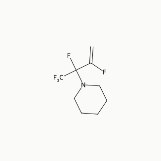 C=C(F)C(F)(N1CCCCC1)C(F)(F)F